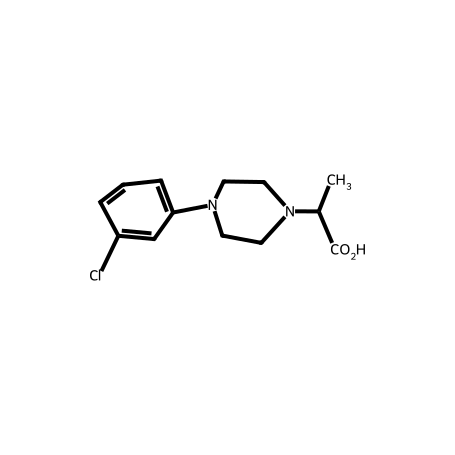 CC(C(=O)O)N1CCN(c2cccc(Cl)c2)CC1